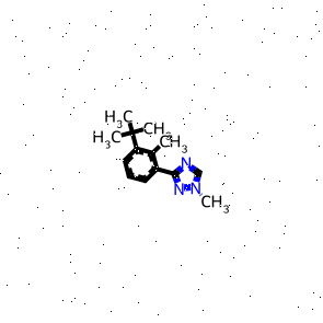 Cc1c(-c2ncn(C)n2)cccc1C(C)(C)C